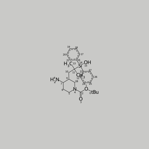 CC(C)(C)OC(=O)N1CCC(N)C(CC(C)(C)[Si](O)(c2ccccc2)c2ccccc2)C1